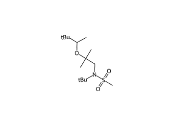 CC(OC(C)(C)CN(C(C)(C)C)S(C)(=O)=O)C(C)(C)C